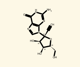 C#C[C@@]1(n2cnc3c(=O)[nH]c(N)nc32)O[C@H](CO)[C@@H](O)[C@H]1O